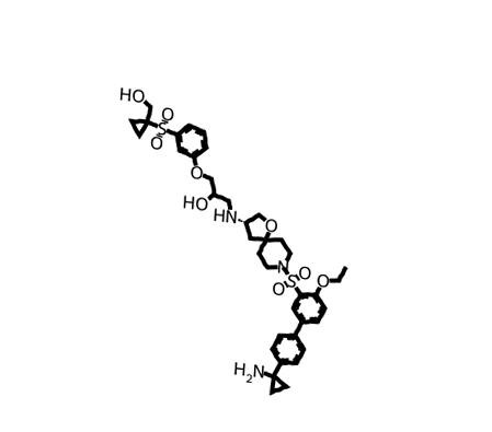 CCOc1ccc(-c2ccc(C3(N)CC3)cc2)cc1S(=O)(=O)N1CCC2(CC1)C[C@H](NCC(O)COc1cccc(S(=O)(=O)C3(CO)CC3)c1)CO2